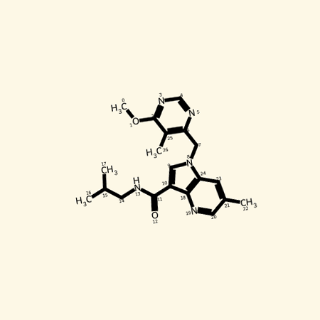 COc1ncnc(Cn2cc(C(=O)NCC(C)C)c3ncc(C)cc32)c1C